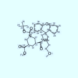 COCCCCC1(CNC(=O)[C@H]2C[C@@H](C(=O)OC)CN(C(=O)OC(C)(C)C)C2)c2ccccc2Oc2ccccc21